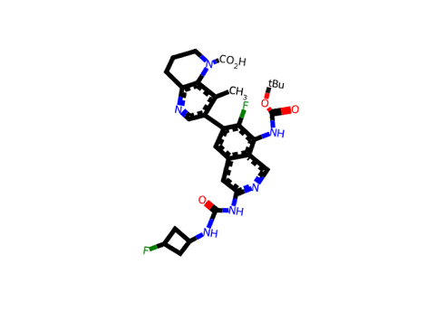 Cc1c(-c2cc3cc(NC(=O)NC4CC(F)C4)ncc3c(NC(=O)OC(C)(C)C)c2F)cnc2c1N(C(=O)O)CCC2